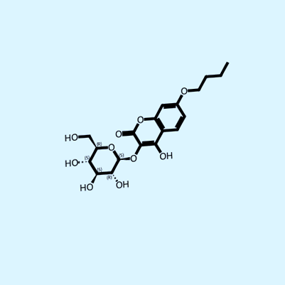 CCCCOc1ccc2c(O)c(O[C@@H]3O[C@H](CO)[C@@H](O)[C@H](O)[C@H]3O)c(=O)oc2c1